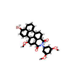 COc1cc(OC)cc(N2C(=O)c3ccc4c5cccc6c(Br)ccc(c7c(OC)cc(c3c47)C2=O)c65)c1